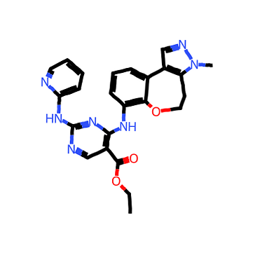 CCOC(=O)c1cnc(Nc2ccccn2)nc1Nc1cccc2c1OCCc1c-2cnn1C